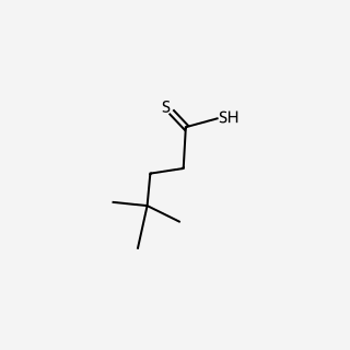 CC(C)(C)CCC(=S)S